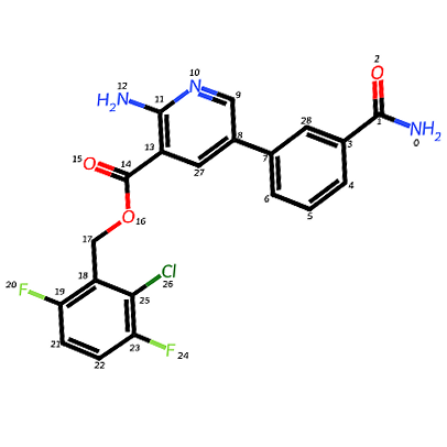 NC(=O)c1cccc(-c2cnc(N)c(C(=O)OCc3c(F)ccc(F)c3Cl)c2)c1